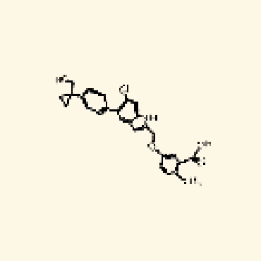 Cc1ccc(OCc2cc3cc(-c4ccc(C5(CO)CC5)cc4)c(Cl)cc3[nH]2)cc1C(=O)O